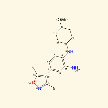 COC1CCC(Nc2ccc(-c3c(C)noc3C)cc2N)CC1